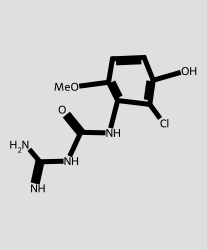 COc1ccc(O)c(Cl)c1NC(=O)NC(=N)N